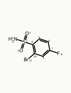 NS(=O)(=O)c1ccc(F)cc1Br